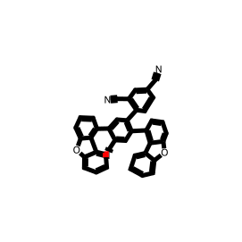 N#Cc1ccc(-c2cc(-c3cccc4oc5ccccc5c34)c(C#N)cc2-c2cccc3oc4ccccc4c23)c(C#N)c1